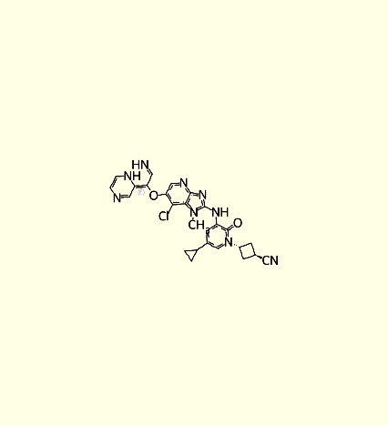 Cn1c(Nc2cc(C3CC3)cn([C@H]3C[C@H](C#N)C3)c2=O)nc2ncc(O/C(C=N)=C3\C=NC=CN3)c(Cl)c21